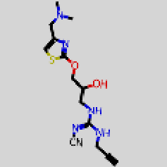 C#CCNC(=NC#N)NCC(O)COc1nc(CN(C)C)cs1